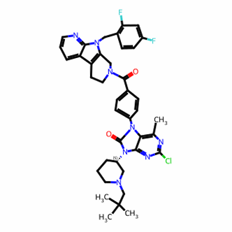 Cc1nc(Cl)nc2c1n(-c1ccc(C(=O)N3CCc4c(n(Cc5ccc(F)cc5F)c5ncccc45)C3)cc1)c(=O)n2[C@H]1CCCN(CC(C)(C)C)C1